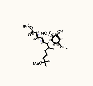 COC(C)(C)CCCC(C)C/C=C/C(C)=C/C(=O)OC(C)C.Nc1ccc(C(=O)O)c(O)c1